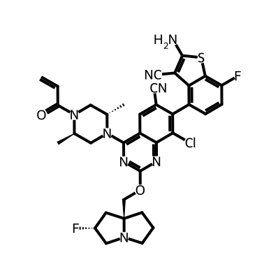 C=CC(=O)N1C[C@H](C)N(c2nc(OC[C@@]34CCCN3C[C@H](F)C4)nc3c(Cl)c(-c4ccc(F)c5sc(N)c(C#N)c45)c(C#N)cc23)C[C@H]1C